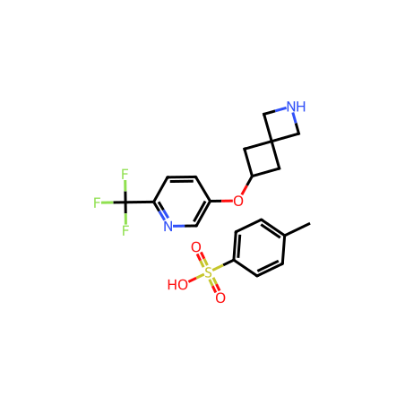 Cc1ccc(S(=O)(=O)O)cc1.FC(F)(F)c1ccc(OC2CC3(CNC3)C2)cn1